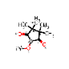 CC(C)OB1C(=O)C(C)(C)C(C)(C)C1=O